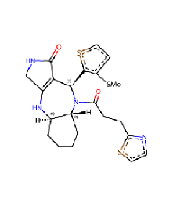 CSc1ccsc1[C@@H]1C2=C(CNC2=O)N[C@@H]2CCCC[C@H]2N1C(=O)CCc1nccs1